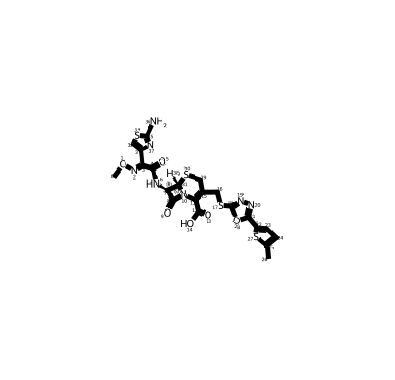 CON=C(C(=O)N[C@@H]1C(=O)N2C(C(=O)O)=C(CSc3nnc(-c4ccc(C)s4)o3)CS[C@@H]12)c1csc(N)n1